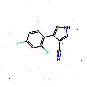 N#Cc1c[nH]cc1-c1ccc(F)cc1F